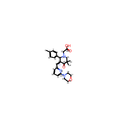 Cc1ccc(C2/C(=C/c3cccc(N4CCOCC4)n3)C(=O)C(C)(C)CN2CC(=O)O)cc1